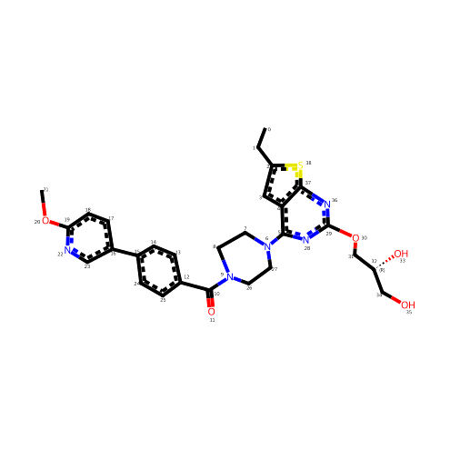 CCc1cc2c(N3CCN(C(=O)c4ccc(-c5ccc(OC)nc5)cc4)CC3)nc(OC[C@H](O)CO)nc2s1